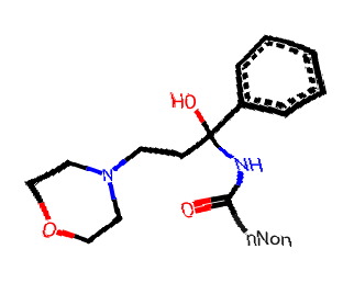 CCCCCCCCCC(=O)NC(O)(CCN1CCOCC1)c1ccccc1